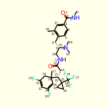 CNC(=O)c1ccc(C[C@@H](CNC(=O)C[C@@H](C2(C)C=C(F)C=C(F)C2)C2(C(F)(F)F)CC2)N(C)C)c(C)c1